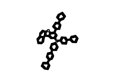 c1ccc(-c2ccc(-c3ccc(N(c4ccc(-c5ccccc5)cc4)c4cc(-c5ccc(-c6ccccc6)cc5)c5oc6ccc7ccccc7c6c5c4)cc3)cc2)cc1